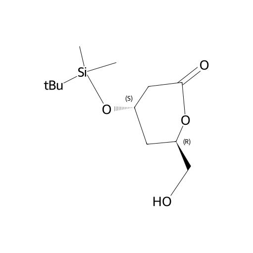 CC(C)(C)[Si](C)(C)O[C@@H]1CC(=O)O[C@@H](CO)C1